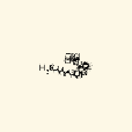 CCCCCCCCC1CCc2[o+]c3ccccc3cc2C1.[Cl][Fe-]([Cl])([Cl])[Cl]